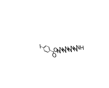 N=NN=NN=NN=NOC(=O)c1ccc(I)cc1